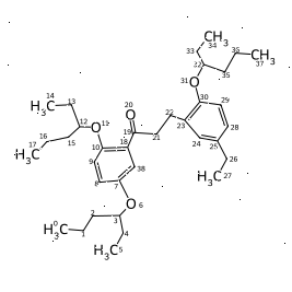 CCCC(CC)Oc1ccc(OC(CC)CCC)c(C(=O)CCc2cc(CC)ccc2OC(CC)CCC)c1